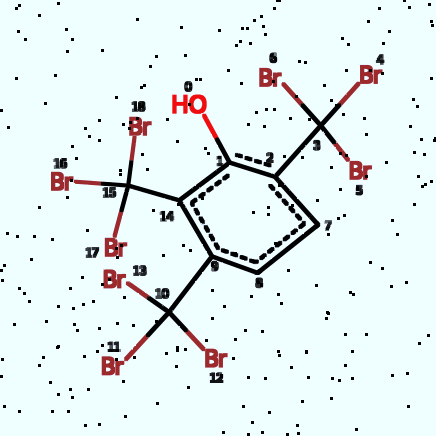 Oc1c(C(Br)(Br)Br)ccc(C(Br)(Br)Br)c1C(Br)(Br)Br